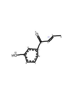 C/C=C/C(=O)c1cccc(O)c1